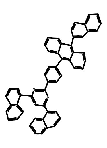 c1ccc2cc(-c3c4ccccc4c(-c4ccc(-c5nc(-c6cccc7ccccc67)nc(-c6cccc7ccccc67)n5)cc4)c4ccccc34)ccc2c1